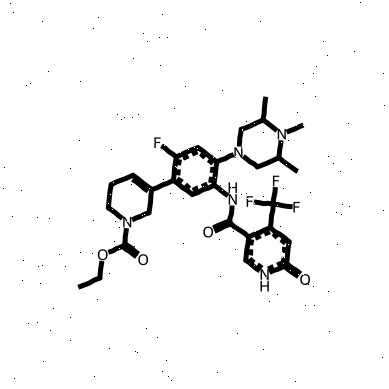 CCOC(=O)N1CCC=C(c2cc(NC(=O)c3c[nH]c(=O)cc3C(F)(F)F)c(N3CC(C)N(C)C(C)C3)cc2F)C1